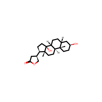 C[C@]12CC[C@H](O)C[C@H]1CC[C@@H]1[C@@H]2CC[C@]2(C)[C@@H]([C@H]3COC(=O)C3)CC[C@]12O